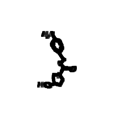 Nc1ccc(COC(=O)N2CCC(O)C2)cc1